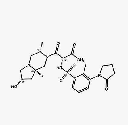 Cc1c(N2CCCC2=O)cccc1S(=O)(=O)N[C@@H](C(N)=O)C(=O)N1C[C@@H]2C[C@@H](O)CN2C[C@@H]1C